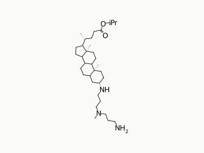 CC(C)OC(=O)CC[C@@H](C)C1CCC2C3CCC4C[C@@H](NCCCN(C)CCCN)CC[C@]4(C)C3CC[C@@]21C